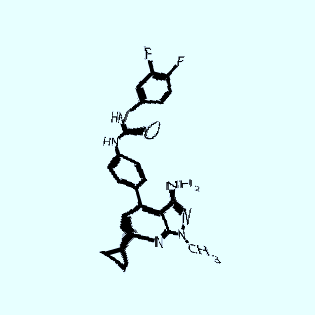 Cn1nc(N)c2c(-c3ccc(NC(=O)Nc4ccc(F)c(F)c4)cc3)cc(C3CC3)nc21